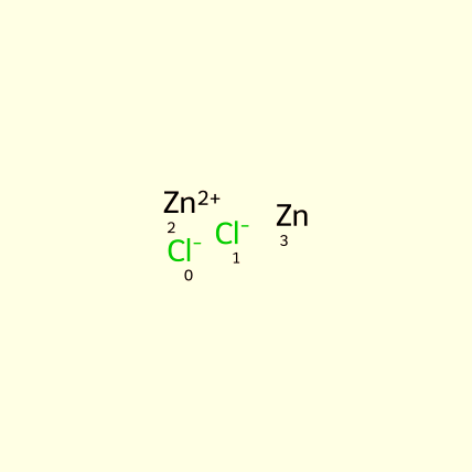 [Cl-].[Cl-].[Zn+2].[Zn]